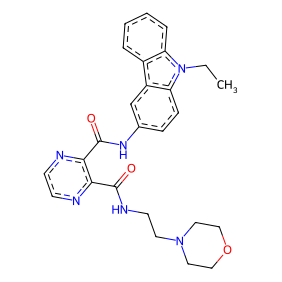 CCn1c2ccccc2c2cc(NC(=O)c3nccnc3C(=O)NCCN3CCOCC3)ccc21